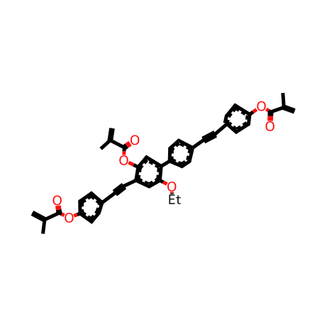 C=C(C)C(=O)Oc1ccc(C#Cc2ccc(-c3cc(OC(=O)C(=C)C)c(C#Cc4ccc(OC(=O)C(=C)C)cc4)cc3OCC)cc2)cc1